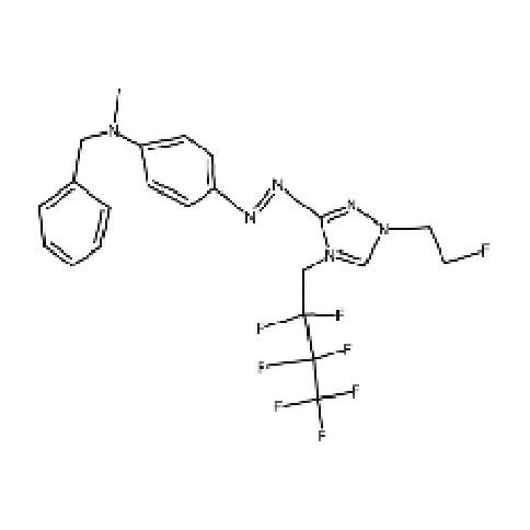 CN(Cc1ccccc1)c1ccc(/N=N/c2nn(CCF)c[n+]2CC(F)(F)C(F)(F)C(F)(F)F)cc1